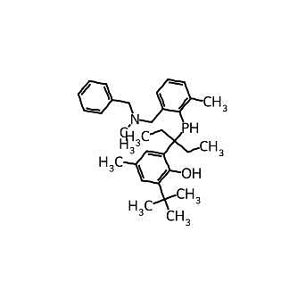 CCC(CC)(Pc1c(C)cccc1CN(C)Cc1ccccc1)c1cc(C)cc(C(C)(C)C)c1O